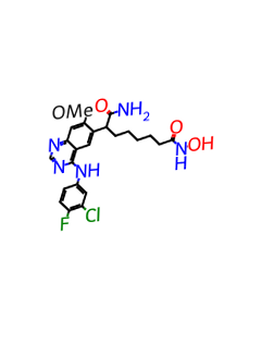 COc1cc2ncnc(Nc3ccc(F)c(Cl)c3)c2cc1C(CCCCCC(=O)NO)C(N)=O